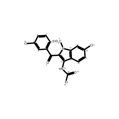 CCOC(=O)n1c(C(=O)c2cccc(Cl)c2)c(NC(=O)CC)c2ccc(Cl)cc21